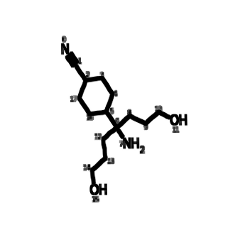 N#CC1CCC(C(N)(CCCO)CCCO)CC1